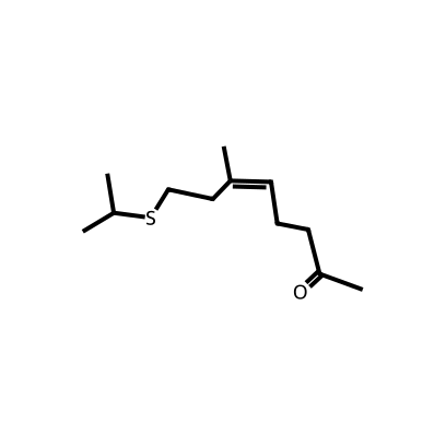 CC(=O)CCC=C(C)CCSC(C)C